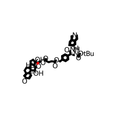 CC(C)(C)OC(=O)NC[C@@H](C(=O)Nc1ccc2cnccc2c1)c1ccc(COC(=O)CCC(=O)OCC(=O)[C@@]2(O)CC[C@H]3[C@@H]4CCC5=CC(=O)C=C[C@]5(C)C4[C@@H](O)C[C@@]32C)cc1